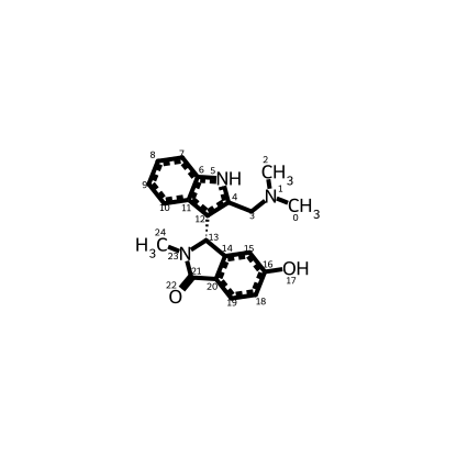 CN(C)Cc1[nH]c2ccccc2c1[C@@H]1c2cc(O)ccc2C(=O)N1C